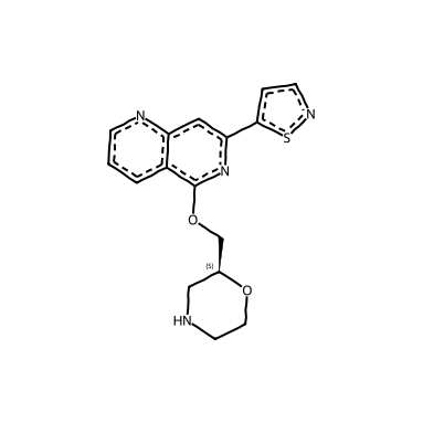 c1cnc2cc(-c3ccns3)nc(OC[C@@H]3CNCCO3)c2c1